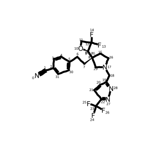 N#Cc1ccc(CC[C@@]2([C@H]3OCC3(F)F)CCN(Cc3ccc(C(F)(F)F)nn3)C2)cc1